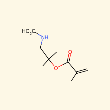 C=C(C)C(=O)OC(C)(C)CNC(=O)O